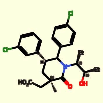 CC[C@@H](O)[C@H](CC)N1C(=O)[C@@](C)(CC(=O)O)C[C@H](c2cccc(Cl)c2)C1c1ccc(Cl)cc1